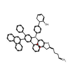 C=CCC/C=C1\Cc2ccc(N(c3ccc(C4CC=CC=C4O)cc3)c3cc(-c4ccccc4)c(-c4cc5ccccc5c5ccccc45)cc3-c3ccccc3)cc2S1